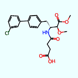 COC(=O)[C@@H](OC)[C@@H](Cc1ccc(-c2cccc(Cl)c2)cc1)NC(=O)CCC(=O)O